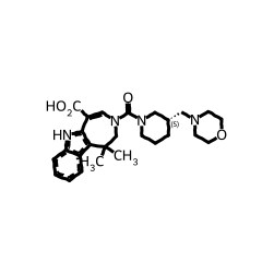 CC1(C)CN(C(=O)N2CCC[C@@H](CN3CCOCC3)C2)C=C(C(=O)O)c2[nH]c3ccccc3c21